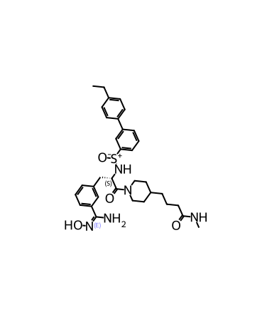 CCc1ccc(-c2cccc([S+]([O-])N[C@@H](Cc3cccc(/C(N)=N\O)c3)C(=O)N3CCC(CCCC(=O)NC)CC3)c2)cc1